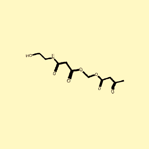 CC(=O)CC(=O)OCOC(=O)CC(=O)NCCO